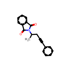 CC(CC#Cc1ccccc1)N1C(=O)c2ccccc2C1=O